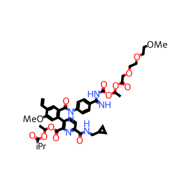 C=Cc1cc(C(=O)Nc2ccc(C(=N)NC(=O)OC(C)OC(=O)COCCOCCOC)cc2)c(-c2ccc(C(=O)NCC3CC3)nc2C(=O)OC(C)OC(=O)C(C)C)cc1OC